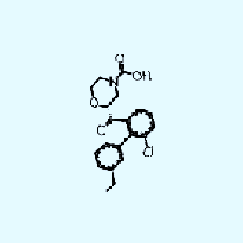 CCc1cccc(-c2c(Cl)cccc2C(=O)[C@H]2CN(C(=O)O)CCO2)c1